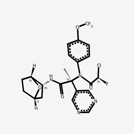 C[C@@](C(=O)N[C@@H]1C[C@@H]2CC[C@H]1O2)(c1cncnc1)N(C(=O)[C@H](F)Cl)c1ccc(OC(F)(F)F)cc1